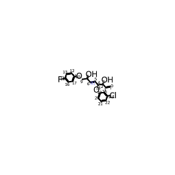 [CH]=CC(O)C(/C=C/C(O)COc1ccc(F)cc1)Oc1cccc(Cl)c1